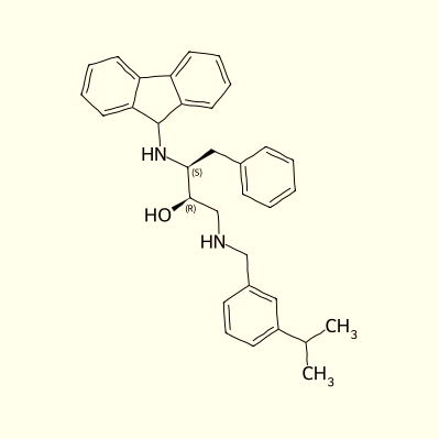 CC(C)c1cccc(CNC[C@@H](O)[C@H](Cc2ccccc2)NC2c3ccccc3-c3ccccc32)c1